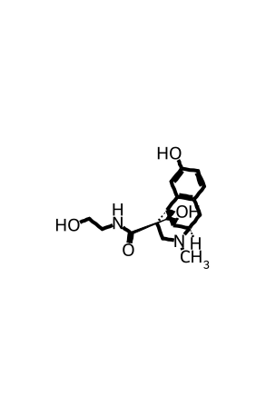 CN1CC[C@]23C[C@H](C(=O)NCCO)C[C@@]2(O)[C@H]1Cc1ccc(O)cc13